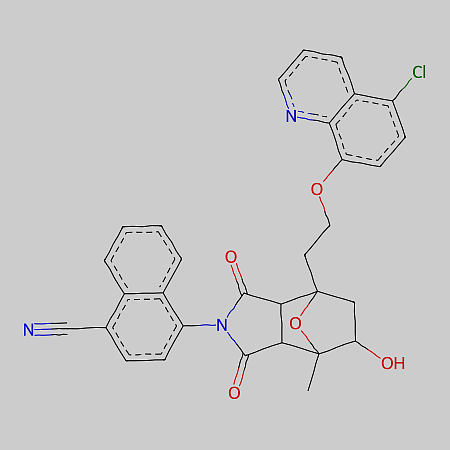 CC12OC(CCOc3ccc(Cl)c4cccnc34)(CC1O)C1C(=O)N(c3ccc(C#N)c4ccccc34)C(=O)C12